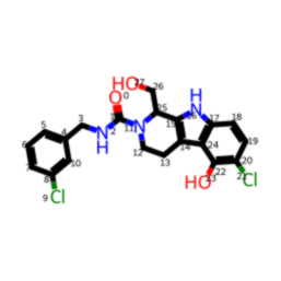 O=C(NCc1cccc(Cl)c1)N1CCc2c([nH]c3ccc(Cl)c(O)c23)C1CO